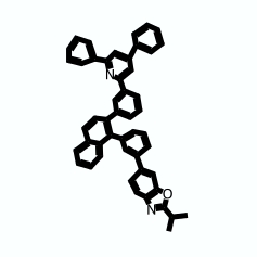 CC(C)c1nc2ccc(-c3cccc(-c4c(-c5cccc(-c6cc(-c7ccccc7)cc(-c7ccccc7)n6)c5)ccc5ccccc45)c3)cc2o1